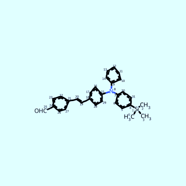 C[Si](C)(C)c1ccc(N(c2ccccc2)c2ccc(C=Cc3ccc(C=O)cc3)cc2)cc1